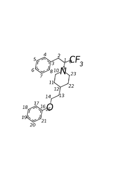 FC(F)(F)C(Cc1ccccc1)N1CCC(CCOc2ccccc2)CC1